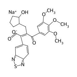 COc1cc(C(=O)C(CC2CCCC2O)=C(C(=O)[O-])c2ccc3nsnc3c2)cc(OC)c1OC.[Na+]